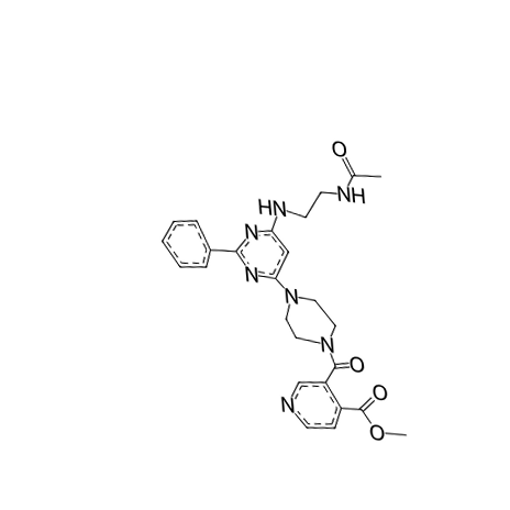 COC(=O)c1ccncc1C(=O)N1CCN(c2cc(NCCNC(C)=O)nc(-c3ccccc3)n2)CC1